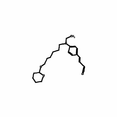 CCN(CCCCCCOC1CCCCO1)c1ccc(C=CC=O)cc1